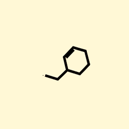 [CH2]CC1C=CCCC1